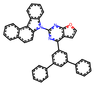 c1ccc(-c2cc(-c3ccccc3)cc(-c3nc(-n4c5ccccc5c5c6ccccc6ccc54)nc4occc34)c2)cc1